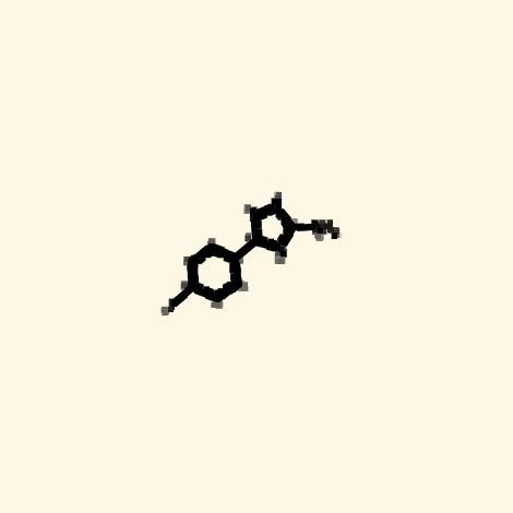 Nc1nsc(-c2ccc(I)cc2)n1